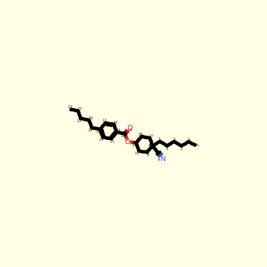 CCCCCCC1(C#N)CCC(OC(=O)c2ccc(CCCCC)cc2)CC1